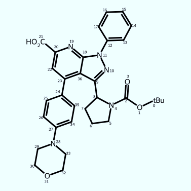 CC(C)(C)OC(=O)N1CCCC1c1nn(-c2ccccc2)c2nc(C(=O)O)cc(-c3ccc(N4CCOCC4)cc3)c12